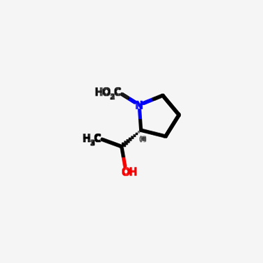 CC(O)[C@H]1CCCN1C(=O)O